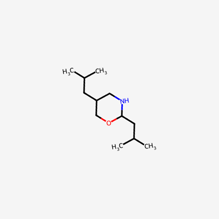 CC(C)CC1CNC(CC(C)C)OC1